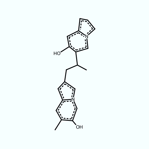 Cc1cc2cc(CC(C)c3cn4cccc4cc3O)cn2cc1O